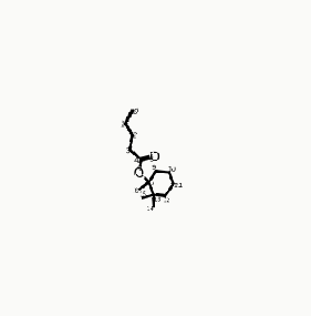 CCCCC(=O)OC1(C)CCCCC1(C)C